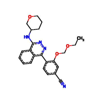 CCOCOc1cc(C#N)ccc1-c1nnc(NC2CCCOC2)c2ccccc12